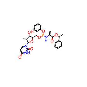 C=C(NP(OC[C@H]1O[C@@H](n2ccc(=O)[nH]c2=O)[C@@H](C)[C@@H]1O)Oc1ccccc1)C(=O)O[C@@H](C)c1ccccc1